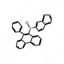 [O-][S+](c1ccc2ccccc2c1)c1c(-c2ccccc2)c2ccccc2c2ccccc12